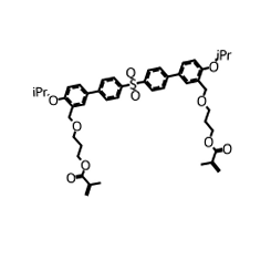 C=C(C)C(=O)OCCCOCc1cc(-c2ccc(S(=O)(=O)c3ccc(-c4ccc(OC(C)C)c(COCCCOC(=O)C(=C)C)c4)cc3)cc2)ccc1OC(C)C